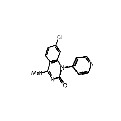 CNc1nc(=O)n(-c2ccncc2)c2cc(Cl)ccc12